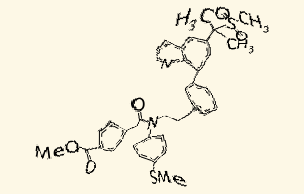 COC(=O)c1ccc(C(=O)N(CCc2cccc(-c3cc(C(C)(C)S(C)(=O)=O)cc4cccnc34)c2)c2ccc(SC)cc2)cc1